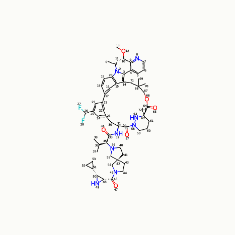 CCn1c(-c2cccnc2[C@H](C)OC)c2c3cc(ccc31)-c1cc(cc(C(F)F)c1)C[C@H](NC(=O)[C@H](C(C)C)N1CC[C@]3(CCN(C(=O)[C@@H]4N[C@@H]4C4CC4)C3)C1)C(=O)N1CCC[C@H](N1)C(=O)OCC(C)(C)C2